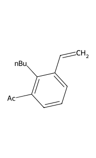 C=Cc1cccc(C(C)=O)c1CCCC